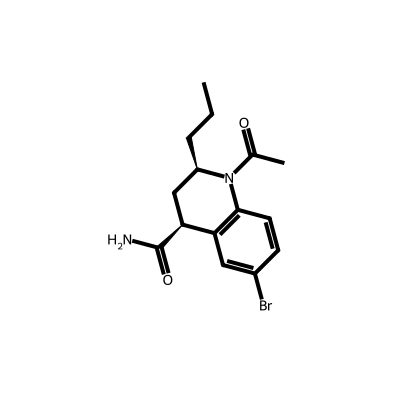 CCC[C@@H]1C[C@H](C(N)=O)c2cc(Br)ccc2N1C(C)=O